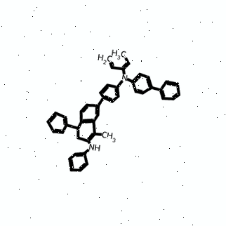 C=C/C(=C\C)N(c1ccc(-c2ccccc2)cc1)c1ccc(-c2ccc3c(c2)C(C)=C(Nc2ccccc2)CC3c2ccccc2)cc1